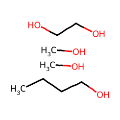 CCCCO.CO.CO.OCCO